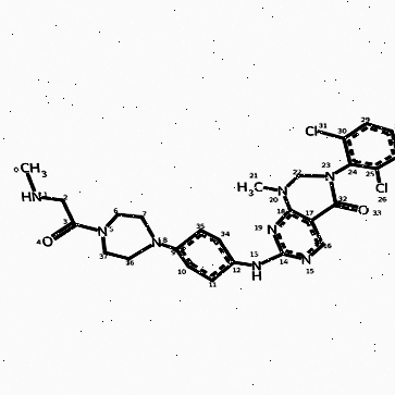 CNCC(=O)N1CCN(c2ccc(Nc3ncc4c(n3)N(C)CN(c3c(Cl)cccc3Cl)C4=O)cc2)CC1